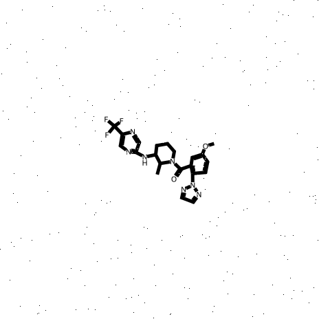 COc1ccc(-n2nccn2)c(C(=O)N2CCCC(Nc3cnc(C(F)(F)F)cn3)C2C)c1